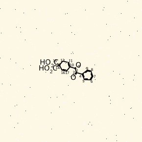 O=C(C(=O)c1ccccc1)C1=CCC(C(=O)O)(C(=O)O)C=C1